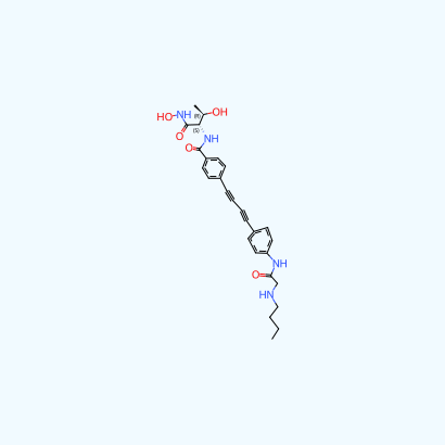 CCCCNCC(=O)Nc1ccc(C#CC#Cc2ccc(C(=O)N[C@H](C(=O)NO)[C@@H](C)O)cc2)cc1